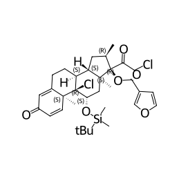 C[C@@H]1C[C@H]2[C@@H]3CCC4=CC(=O)C=C[C@]4(C)[C@@]3(Cl)[C@@H](O[Si](C)(C)C(C)(C)C)C[C@]2(C)[C@@]1(OC(=O)c1ccoc1)C(=O)CCl